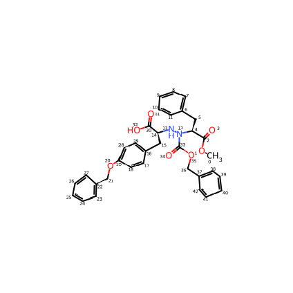 COC(=O)[C@H](Cc1ccccc1)N(N[C@@H](Cc1ccc(OCc2ccccc2)cc1)C(=O)O)C(=O)OCc1ccccc1